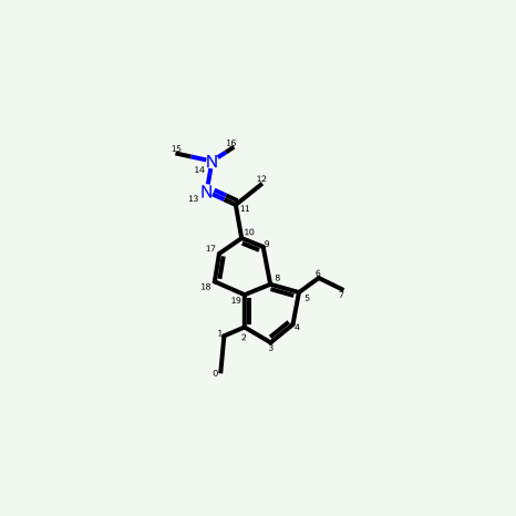 CCc1ccc(CC)c2cc(C(C)=NN(C)C)ccc12